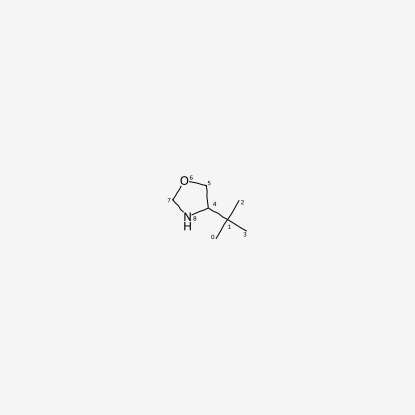 CC(C)(C)C1COCN1